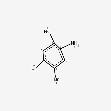 CCc1cc(C#N)c(N)cc1Br